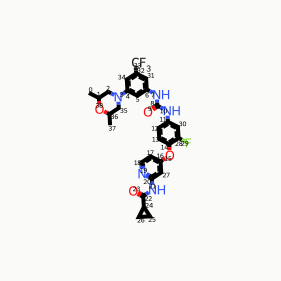 CC1CN(c2cc(NC(=O)Nc3ccc(Oc4ccnc(NC(=O)C5CC5)c4)c(F)c3)cc(C(F)(F)F)c2)CC(C)O1